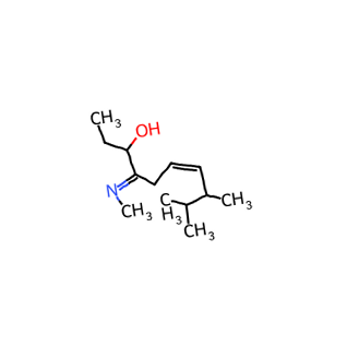 CCC(O)/C(C/C=C\C(C)C(C)C)=N/C